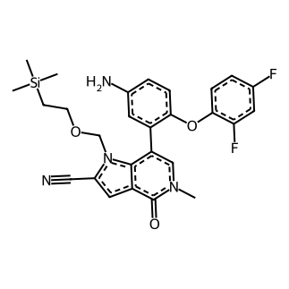 Cn1cc(-c2cc(N)ccc2Oc2ccc(F)cc2F)c2c(cc(C#N)n2COCC[Si](C)(C)C)c1=O